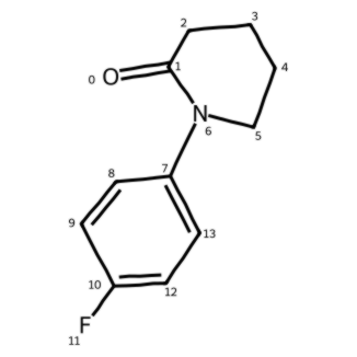 O=C1CCCCN1c1ccc(F)cc1